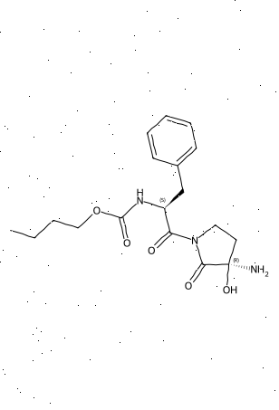 CCCCOC(=O)N[C@@H](Cc1ccccc1)C(=O)N1CC[C@@](N)(O)C1=O